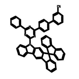 N#Cc1cccc(-c2ccc(-c3nc(-c4ccccc4)nc(-n4c5ccccc5c5cc6c(cc54)C4(c5ccccc5-c5ccccc54)c4ccccc4-6)n3)cc2)c1